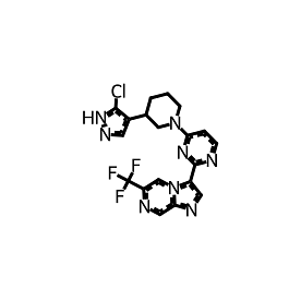 FC(F)(F)c1cn2c(-c3nccc(N4CCCC(c5cn[nH]c5Cl)C4)n3)cnc2cn1